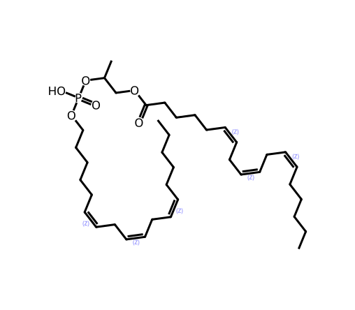 CCCCC/C=C\C/C=C\C/C=C\CCCCCOP(=O)(O)OC(C)COC(=O)CCCC/C=C\C/C=C\C/C=C\CCCCC